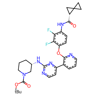 CC(C)(C)OC(=O)N1CCC[C@H](Nc2nccc(-c3cccnc3Oc3ccc(NC(=O)[C@@H]4CC45CC5)c(F)c3F)n2)C1